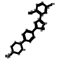 CN1CCN(c2ccc(-c3cc(-c4cc(F)ccc4O)n[nH]3)cc2)CC1